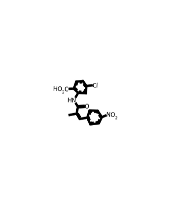 CC(=Cc1ccc([N+](=O)[O-])cc1)C(=O)Nc1cc(Cl)ccc1C(=O)O